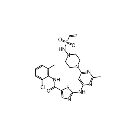 C=CS(=O)(=O)NN1CCN(c2cc(Nc3ncc(C(=O)Nc4c(C)cccc4Cl)s3)nc(C)n2)CC1